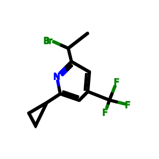 CC(Br)c1cc(C(F)(F)F)cc(C2CC2)n1